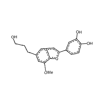 COc1cc(CCCO)cc2cc(-c3ccc(O)c(O)c3)oc12